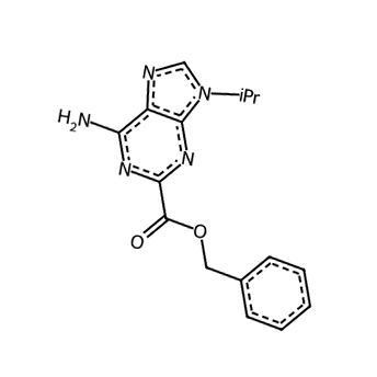 CC(C)n1cnc2c(N)nc(C(=O)OCc3ccccc3)nc21